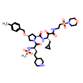 Cc1ccc(CO[C@@H]2C[C@@H](C(=O)N[C@@H](CC3CC3)C(=O)C(=O)NCCS(=O)(=O)N3CCOCC3)N(C(=O)[C@@H](CCC3CCNCC3)NS(C)(=O)=O)C2)cc1